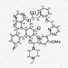 COc1ccccc1-c1nccc(COc2ccccc2CC(Oc2ncnc3sc(-c4ccc(F)cc4)c(-c4c(C)c(Cl)c(OCCN5CCN(C)CC5)c(Cl)c4C)c23)C(=O)O)n1